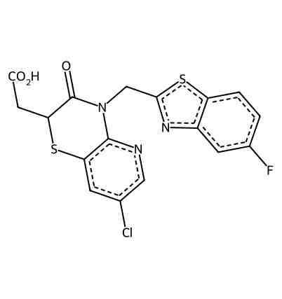 O=C(O)CC1Sc2cc(Cl)cnc2N(Cc2nc3cc(F)ccc3s2)C1=O